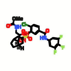 COC(=O)NCC(O)[C@@]1(O)C2CC[C@H]1C[C@H](S(=O)(=O)c1cc(C(=O)Nc3cc(F)c(F)c(F)c3)ccc1Cl)C2